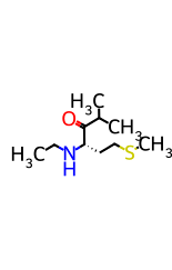 CCN[C@@H](CCSC)C(=O)C(C)C